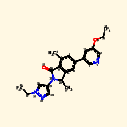 Cc1cc(-c2cncc(OCC(F)(F)F)c2)cc2c1C(=O)N(c1cnn(CC(F)(F)F)c1)C2C